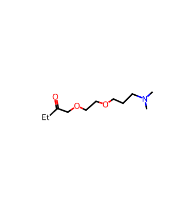 CCC(=O)COCCOCCCN(C)C